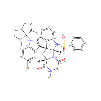 CC(C)[Si](C(C)C)(C(C)C)n1cc([C@]23C[C@H]4C(=O)N(C)CC(=O)N4[C@H]2N(S(=O)(=O)c2ccccc2)c2ccccc23)c2cc(Br)ccc21